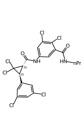 CCCNC(=O)c1cc(NC(=O)[C@@H]2[C@@H](c3cc(Cl)cc(Cl)c3)C2(Cl)Cl)cc(Cl)c1Cl